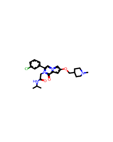 CC(C)NC(=O)Cn1c(-c2cccc(Cl)c2)cn2cc(OCC3CCN(C)CC3)cc2c1=O